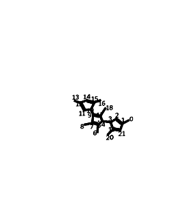 CC1=CC([C]2C(C)=C(C)C(C3C=C(C)C=C3C)=C2C)C(C)=C1